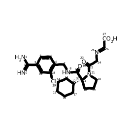 N=C(N)c1ccc(CNC(=O)[C@]2(C3CCCCC3)CCCN2C(=O)CN=CC(=O)O)c(Cl)c1